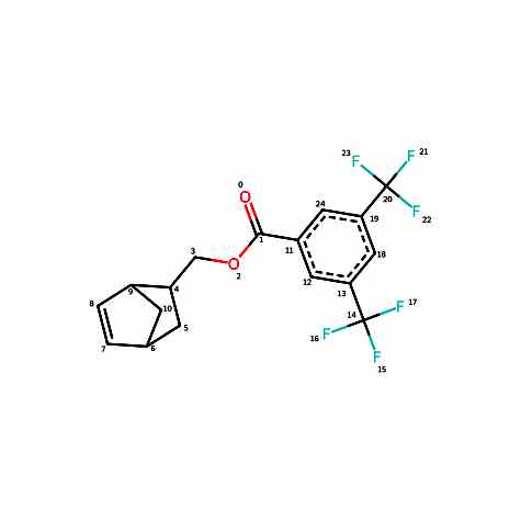 O=C(OCC1CC2C=CC1C2)c1cc(C(F)(F)F)cc(C(F)(F)F)c1